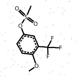 COc1ccc(OS(C)(=O)=O)cc1C(F)(F)F